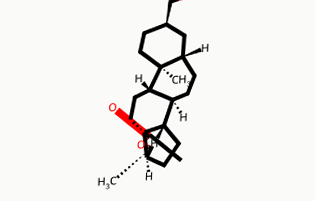 C[C@H]1OC(=O)[C@]23CC[C@H]4[C@@H](CC[C@H]5C[C@H](CO)CC[C@@]54C)[C@@H]2CC[C@H]13